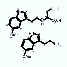 COc1ccc2[nH]cc(CCN)c2c1.COc1ccc2[nH]cc(CCNC(CC(=O)O)C(=O)O)c2c1